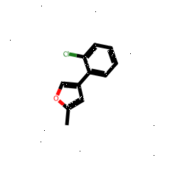 Cc1cc(-c2ccccc2Cl)co1